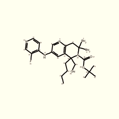 BC1(B)Cc2ncc(Nc3ccncc3F)cc2C(CO)(CCCC)N1C(=O)OC(C)(C)C